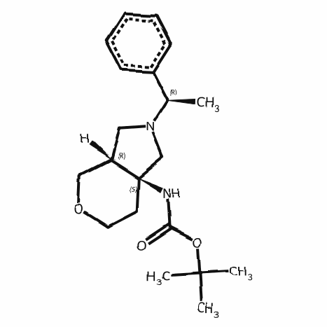 C[C@H](c1ccccc1)N1C[C@H]2COCC[C@@]2(NC(=O)OC(C)(C)C)C1